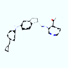 COC(=O)c1ccncc1NCC1CCc2cc(N(C)c3ccc(C4CC4)cc3)ccc21